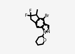 CC1c2c(cc3c(cnn3C3CCCCO3)c2Br)CC1(F)F